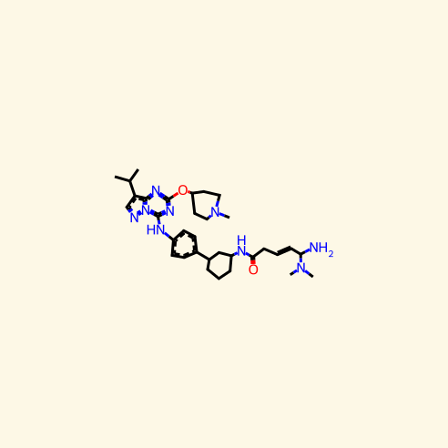 CC(C)c1cnn2c(Nc3ccc(C4CCCC(NC(=O)C/C=C/C(N)N(C)C)C4)cc3)nc(OC3CCN(C)CC3)nc12